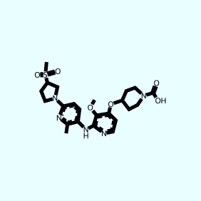 COc1c(OC2CCN(C(=O)O)CC2)ccnc1Nc1ccc(N2CCC(S(C)(=O)=O)C2)nc1C